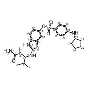 CC(C)C(NC(N)=O)Nc1nc2cc(OS(=O)(=O)c3ccc(NC4CCCC4)cc3)ccc2[nH]1